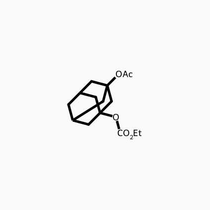 CCOC(=O)OC12CC3CC(CC(OC(C)=O)(C3)C1)C2